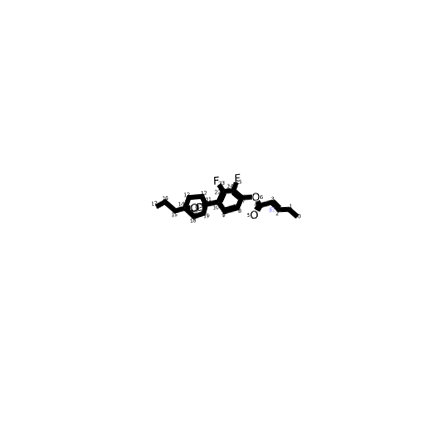 CC/C=C/C(=O)Oc1ccc(C23CCC(CCC)(CC2)CC3)c(F)c1F